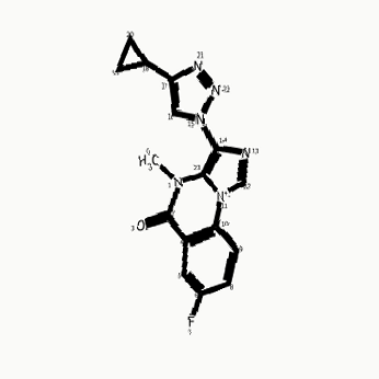 CN1C(=O)c2cc(F)ccc2[N+]2C=NC(n3cc(C4CC4)nn3)=C12